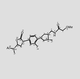 COCC(=O)NC[C@@H]1CN(c2ccc(N3CC(N(C)C(C)=O)OC3=O)cc2F)C[C@@H]1C